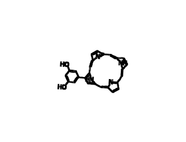 Oc1cc(O)cc(-c2cc3cc4nc(cc5ccc(cc6nc(cc2[nH]3)C=C6)[nH]5)C=C4)c1